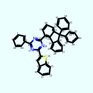 c1ccc(-c2nc(-c3cc4ccccc4s3)nc(-c3cccc4c3-c3ccccc3C4(c3ccccc3)c3ccccc3)n2)cc1